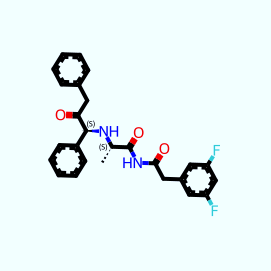 C[C@H](N[C@H](C(=O)Cc1ccccc1)c1ccccc1)C(=O)NC(=O)Cc1cc(F)cc(F)c1